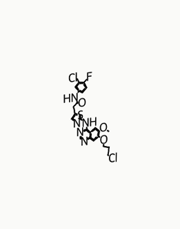 COc1cc2c(Nc3ncc(CC(=O)Nc4ccc(F)c(Cl)c4)s3)ncnc2cc1OCCCCl